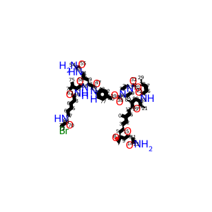 CC(/C=C/[C@@H]1C[C@]2(CO2)C[C@@H](CC(N)=O)O1)=C\C[C@@H]1O[C@H](C)[C@H](NC(=O)/C=C\[C@H](C)OC(=O)N2CCN(C(=O)OCc3ccc(NC(=O)[C@H](CCCNC(N)=O)NC(=O)[C@@H](NC(=O)CCCCCNC(=O)CBr)C(C)C)cc3)CC2)C[C@@H]1C